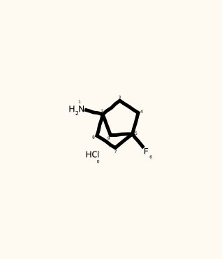 Cl.NC12CCC(F)(CC1)C2